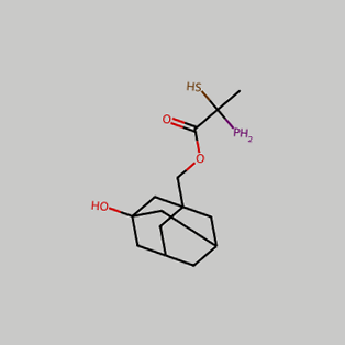 CC(P)(S)C(=O)OCC12CC3CC(CC(O)(C3)C1)C2